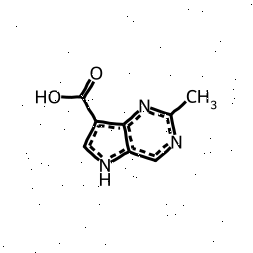 Cc1ncc2[nH]cc(C(=O)O)c2n1